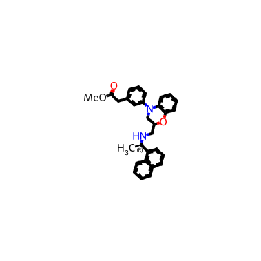 COC(=O)Cc1cccc(N2CC(CN[C@H](C)c3cccc4ccccc34)Oc3ccccc32)c1